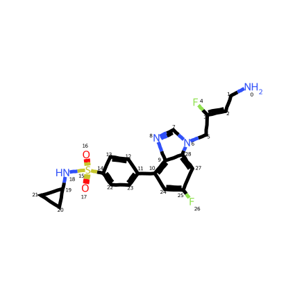 NC/C=C(\F)Cn1cnc2c(-c3ccc(S(=O)(=O)NC4CC4)cc3)cc(F)cc21